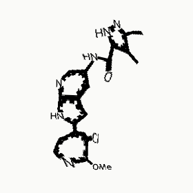 COc1nccc(-c2cc3cc(NC(=O)c4[nH]nc(C)c4C)cnc3[nH]2)c1Cl